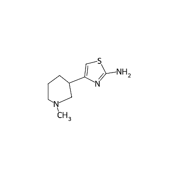 CN1CCCC(c2csc(N)n2)C1